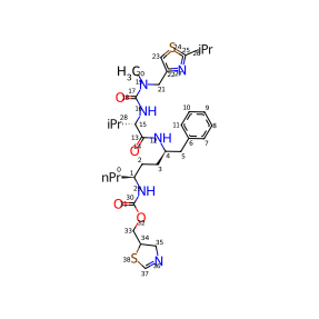 CCC[C@@H](CC[C@H](Cc1ccccc1)NC(=O)[C@@H](NC(=O)N(C)Cc1csc(C(C)C)n1)C(C)C)NC(=O)OCC1CN=CS1